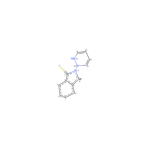 S=c1c2ccccc2[se]n1N1C=CC=CN1